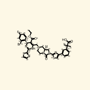 CCOC(=O)C1=C(CN2CCN3C(=O)N(c4nc(-c5cccc(C(C)(C)C(=O)O)c5)cs4)C[C@@H]3C2)NC(c2nccs2)=N[C@H]1c1ccc(F)cc1Br